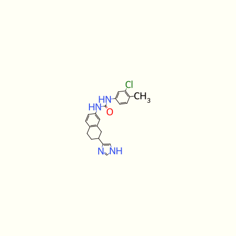 Cc1ccc(NC(=O)Nc2ccc3c(c2)CC(c2c[nH]cn2)CC3)cc1Cl